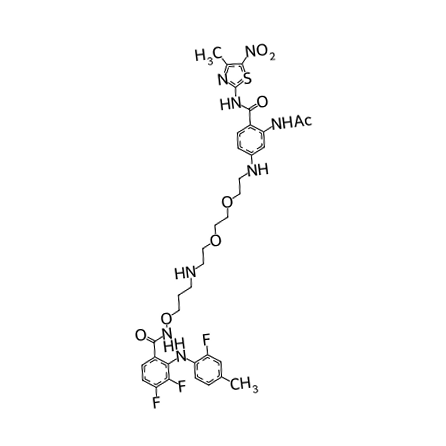 CC(=O)Nc1cc(NCCOCCOCCNCCCONC(=O)c2ccc(F)c(F)c2Nc2ccc(C)cc2F)ccc1C(=O)Nc1nc(C)c([N+](=O)[O-])s1